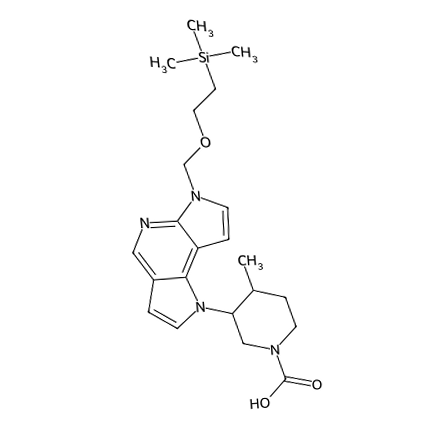 CC1CCN(C(=O)O)CC1n1ccc2cnc3c(ccn3COCC[Si](C)(C)C)c21